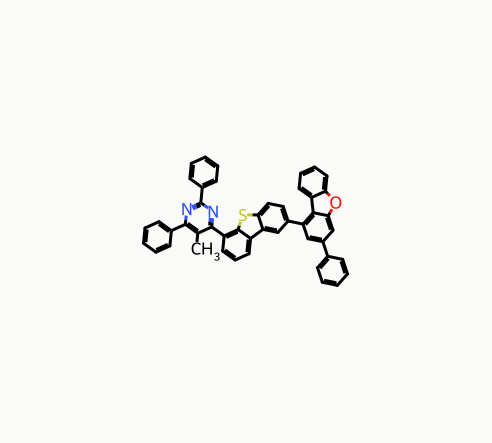 Cc1c(-c2ccccc2)nc(-c2ccccc2)nc1-c1cccc2c1sc1ccc(-c3cc(-c4ccccc4)cc4oc5ccccc5c34)cc12